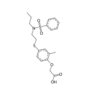 CCCN(CCSc1ccc(OCC(=O)O)c(C)c1)S(=O)(=O)c1ccccc1